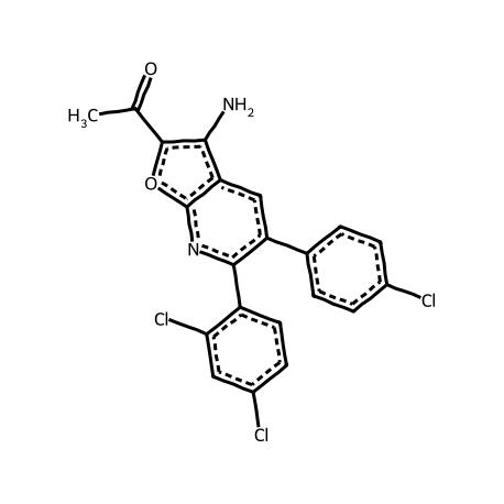 CC(=O)c1oc2nc(-c3ccc(Cl)cc3Cl)c(-c3ccc(Cl)cc3)cc2c1N